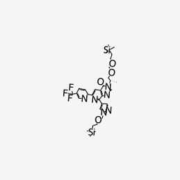 C[C@@H](COCOCC[Si](C)(C)C)n1cnc2c(-c3cnn(COCC[Si](C)(C)C)c3)nc(-c3ccc(C(F)(F)F)cn3)cc2c1=O